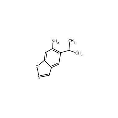 CC(C)c1cc2cnoc2cc1N